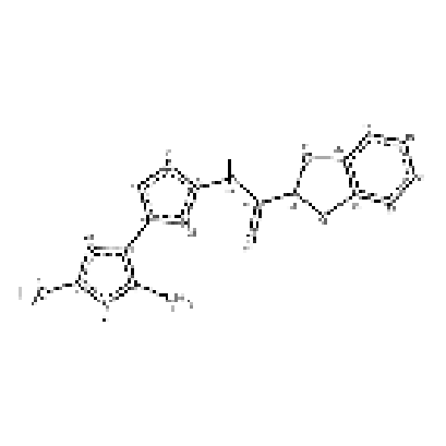 Cc1nc(C)c(-c2csc(NC(=O)C3Cc4ccccc4O3)n2)s1